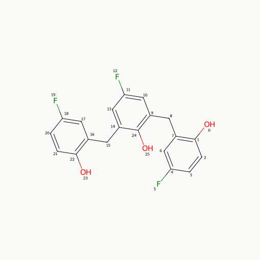 Oc1ccc(F)cc1Cc1cc(F)cc(Cc2cc(F)ccc2O)c1O